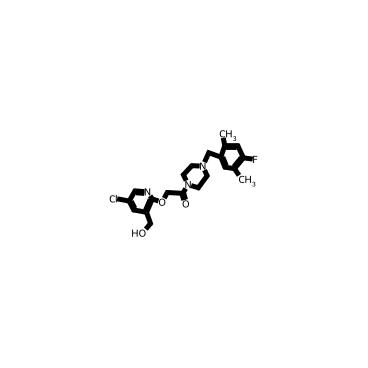 Cc1cc(CN2CCN(C(=O)COc3ncc(Cl)cc3CO)CC2)c(C)cc1F